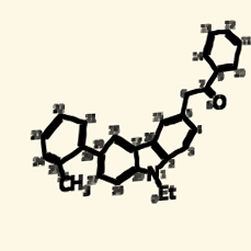 CCn1c2ccc(CC(=O)c3ccccc3)cc2c2cc(-c3ccccc3C)ccc21